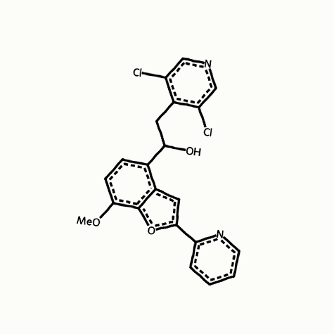 COc1ccc(C(O)Cc2c(Cl)cncc2Cl)c2cc(-c3ccccn3)oc12